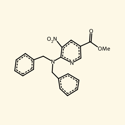 COC(=O)c1cnc(N(Cc2ccccc2)Cc2ccccc2)c([N+](=O)[O-])c1